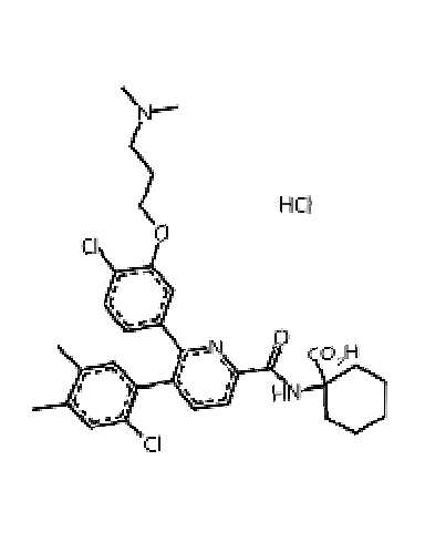 Cc1cc(Cl)c(-c2ccc(C(=O)NC3(C(=O)O)CCCCC3)nc2-c2ccc(Cl)c(OCCCN(C)C)c2)cc1C.Cl